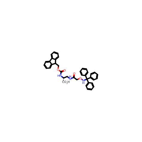 O=C(CONC(c1ccccc1)(c1ccccc1)c1ccccc1)NC[C@@H](NC(=O)OCC1c2ccccc2-c2ccccc21)C(=O)O